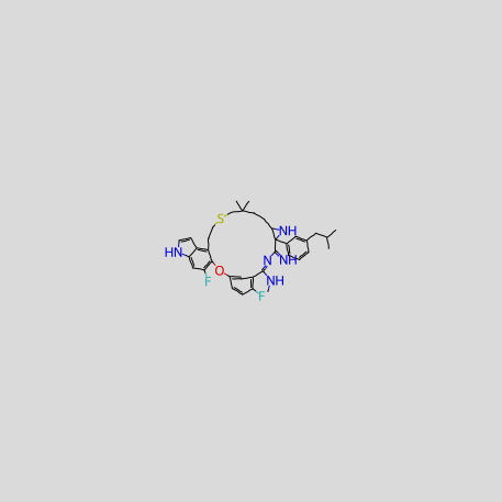 CN/C1=N\C(=N)C2(c3cccc(CC(C)C)c3)NC2CCC(C)(C)CSCCc2c(c(F)cc3[nH]ccc23)Oc2ccc(F)c1c2